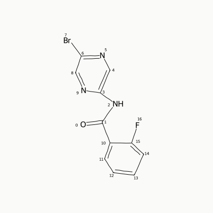 O=C(Nc1cnc(Br)cn1)c1ccccc1F